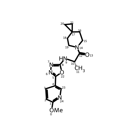 COc1ccc(-c2nnc(N[C@@H](C)C(=O)N3CCC4(CC3)CC4)o2)cn1